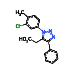 Cc1ccc(-n2nnc(-c3ccccc3)c2CC(=O)O)cc1Cl